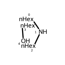 CCCCCCNCCCCCC.CCCCCCO